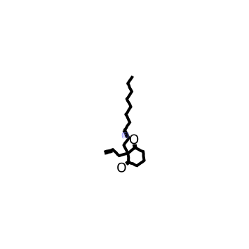 C=CCC1(C/C=C/CCCCCCC)C(=O)CCCC1=O